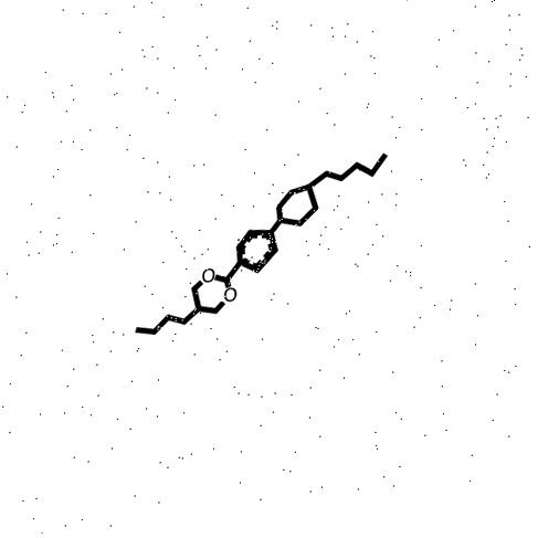 CCCCCC1CCC(c2ccc(C3OCC(CCCC)CO3)cc2)CC1